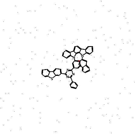 c1ccc(-c2nc(-c3cccc(-n4c5ccccc5c5ccc6c7ccccc7n(-c7ccc8ccccc8c7)c6c54)c3)nc(-c3ccc4c(c3)sc3ccccc34)n2)cc1